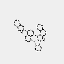 CC12c3ccccc3-c3nc4ccc5ccccc5c4c(c31)-c1ccc(-c3cc4ccccc4cn3)c3cccc2c13